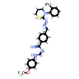 CC(C)c1ccccc1N1CCCS/C1=N\N=C\c1ccc(C(=N)/N=C\Nc2ccc(OC(F)(F)F)cc2)cc1